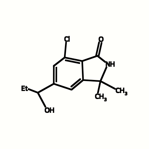 CCC(O)c1cc(Cl)c2c(c1)C(C)(C)NC2=O